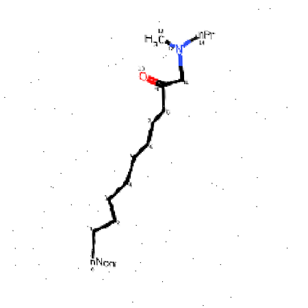 CCCCCCCCCCCCCCCCCC(=O)CN(C)CCC